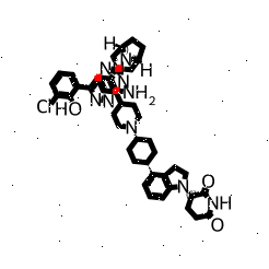 Nc1nnc(-c2cccc(Cl)c2O)cc1N1C[C@H]2CC[C@@H](C1)N2c1nccc(C2CCN([C@H]3CC[C@@H](c4cccc5c4CCN5[C@H]4CCC(=O)NC4=O)CC3)CC2)n1